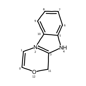 C1=C[n+]2c([nH]c3ccccc32)CO1